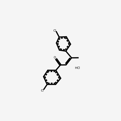 CC(=CC(=O)c1ccc(Cl)cc1)c1ccc(Cl)cc1.Cl